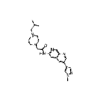 CC(C)CN1CCN(CC(=O)Nc2cc3cc(-c4cnn(C)c4)cnc3cn2)CC1